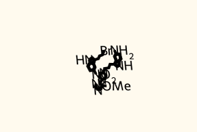 COc1cncnc1N1CCN(CCCc2c[nH]c3ccc(N)cc23)CC1.O=[N+]([O-])c1ccc2[nH]cc(CCCBr)c2c1